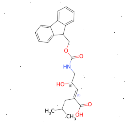 CC(C)C/C(=C\[C@H](O)CNC(=O)OCC1c2ccccc2-c2ccccc21)C(=O)O